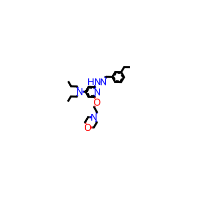 CCCN(CCC)c1cc(N/N=C/c2cccc(CC)c2)nc(OCCN2CCOCC2)c1